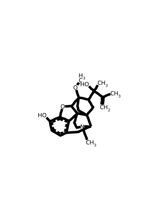 C=C(C)C(C)(O)C1CC23CCC1(OC)C1Oc4c(O)ccc5c4C12CCN(C)C3C5